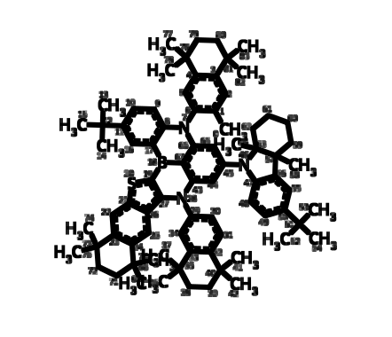 Cc1cc2c(cc1N1c3ccc(C(C)(C)C)cc3B3c4sc5cc6c(cc5c4N(c4ccc5c(c4)C(C)(C)CCC5(C)C)c4cc(N5c7ccc(C(C)(C)C)cc7C7(C)CCCCC57C)cc1c43)C(C)(C)CCC6(C)C)C(C)(C)CCC2(C)C